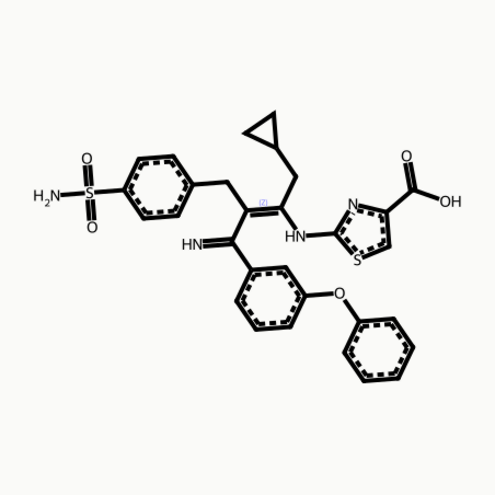 N=C(/C(Cc1ccc(S(N)(=O)=O)cc1)=C(/CC1CC1)Nc1nc(C(=O)O)cs1)c1cccc(Oc2ccccc2)c1